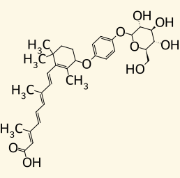 CC1=C(/C=C/C(C)=C/C=C/C(C)=C/C(=O)O)C(C)(C)CCC1Oc1ccc(OC2O[C@H](CO)[C@@H](O)[C@H](O)[C@H]2O)cc1